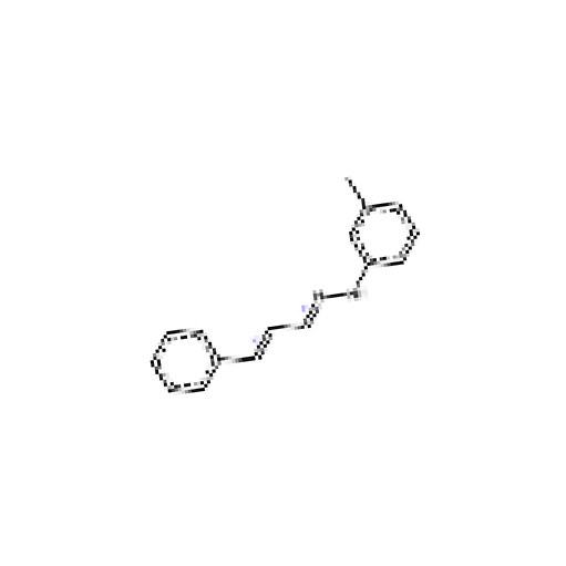 Cc1cccc(N/N=C/C=C/c2ccccc2)c1